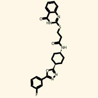 O=C(CCSc1nc2ccccc2c(=O)[nH]1)N[C@H]1CC[C@H](c2nnc(-c3cccc(F)c3)o2)CC1